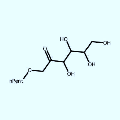 CCCCCOCC(=O)C(O)C(O)C(O)CO